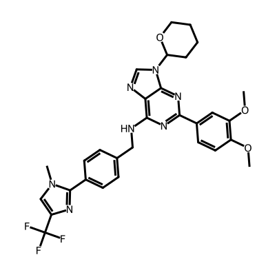 COc1ccc(-c2nc(NCc3ccc(-c4nc(C(F)(F)F)cn4C)cc3)c3ncn(C4CCCCO4)c3n2)cc1OC